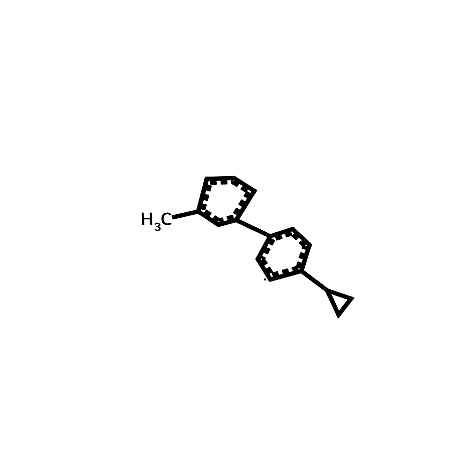 Cc1cccc(-c2c[c]c(C3CC3)cc2)c1